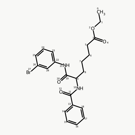 CCOC(=O)CCCCC(NC(=O)c1ccccc1)C(=O)Nc1cccc(Br)c1